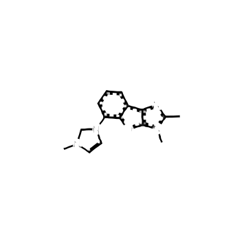 Cc1nc2c3cccc(N4C=CN(C)C4)c3oc2n1C